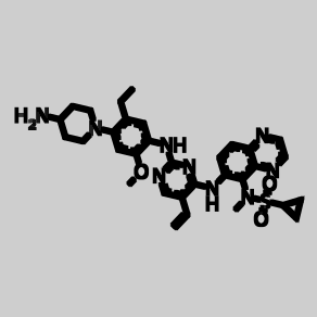 C=Cc1cnc(Nc2cc(CC)c(N3CCC(N)CC3)cc2OC)nc1Nc1ccc2nccnc2c1N(C)S(=O)(=O)C1CC1